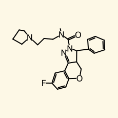 CN(CCCN1CCCC1)C(=O)N1N=C2c3cc(F)ccc3OCC2C1c1ccccc1